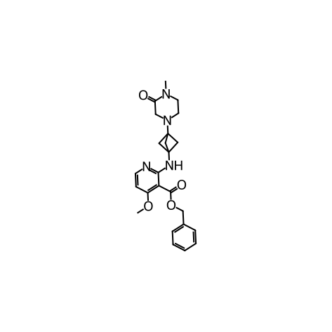 COc1ccnc(NC23CC(N4CCN(C)C(=O)C4)(C2)C3)c1C(=O)OCc1ccccc1